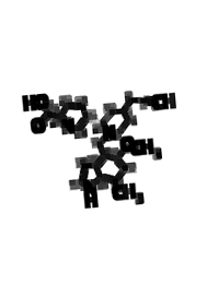 C#CCC1CCN(Cc2c(OC)cc(C)c3[nH]ccc23)[C@H](c2ccc(C(=O)O)nc2)C1